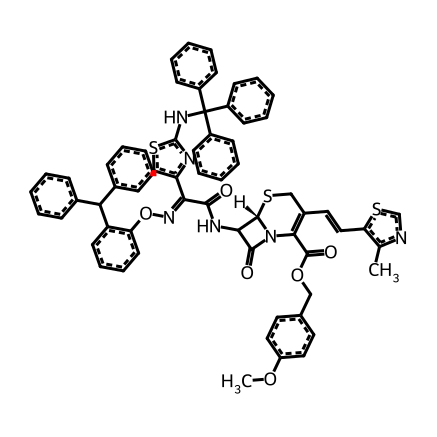 COc1ccc(COC(=O)C2=C(C=Cc3scnc3C)CS[C@H]3C(NC(=O)C(=NOc4ccccc4C(c4ccccc4)c4ccccc4)c4csc(NC(c5ccccc5)(c5ccccc5)c5ccccc5)n4)C(=O)N23)cc1